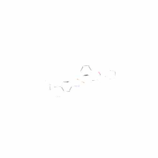 CCN1CCC[C@@H]1C(=O)N(C)Cc1cc(F)ccc1S(=O)(=O)Nc1ccc(C2CC2C)c(OC)c1C(=O)O